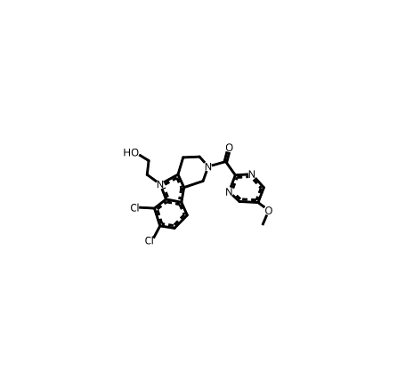 COc1cnc(C(=O)N2CCc3c(c4ccc(Cl)c(Cl)c4n3CCO)C2)nc1